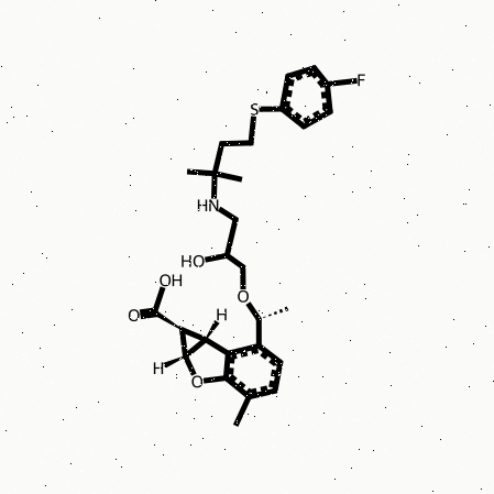 Cc1ccc([C@@H](C)OCC(O)CNC(C)(C)CCSc2ccc(F)cc2)c2c1O[C@@H]1[C@@H](C(=O)O)[C@H]21